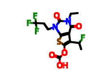 CCn1c(=O)c2c(C(C)F)c(OC(=O)O)sc2n(CCC(F)(F)F)c1=O